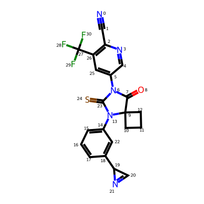 N#Cc1ncc(N2C(=O)C3(CCC3)N(c3cccc(C4C=N4)c3)C2=S)cc1C(F)(F)F